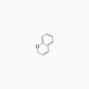 [C]1=CCOc2ccccc21